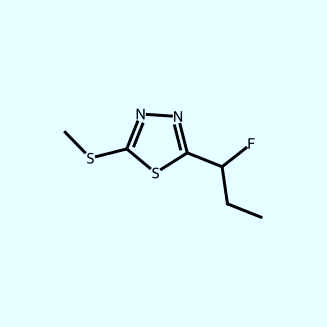 CCC(F)c1nnc(SC)s1